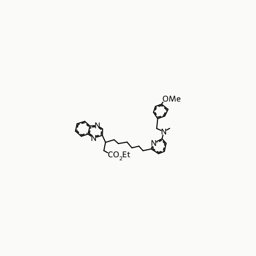 CCOC(=O)CC(CCCCCCc1cccc(N(C)Cc2ccc(OC)cc2)n1)c1cnc2ccccc2n1